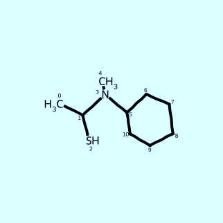 CC(S)N(C)C1CCCCC1